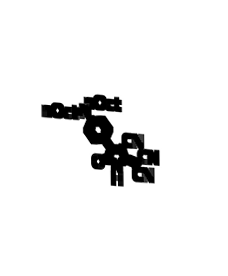 CCCCCCCCN(CCCCCCCC)c1ccc(C2=C(C#N)C(=C(C#N)C#N)NC2=O)cc1